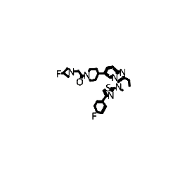 CCc1nc2ccc(C3CCN(C(=O)CN4CC(F)C4)CC3)cn2c1N(C)c1nc(C2=CCC(F)C=C2)cs1